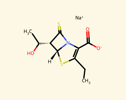 CCC1=C(C(=O)[O-])N2C(=S)[C@@H](C(C)O)[C@H]2S1.[Na+]